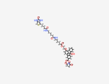 O=C(CCCCCNC(=O)CCCC[C@@H]1SCC2NC(=O)NC21)NCCCCCC(=O)OCCOc1cccc(C(O)(c2ccccc2)c2ccc(C(=O)ON3C(=O)CCC3=O)cc2)c1